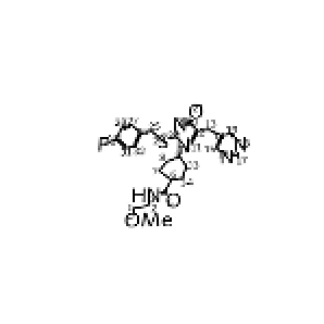 COCCNC(=O)C1CCC(n2cc(Cc3cncnc3)c(=O)nc2SCc2ccc(F)cc2)CC1